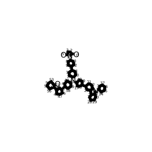 O=C1C=CC(=O)N1c1ccc(-c2ccc(N(c3ccc(-c4ccc5c(c4)c4ccccc4n5-c4ccccc4)cc3)c3ccc(-c4cccc5c4oc4ccccc45)cc3)cc2)cc1